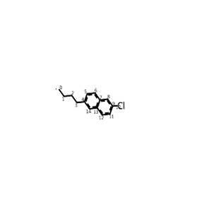 [CH2]CCCc1ccc2cc(Cl)ccc2c1